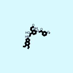 CCc1cc2c(cc1CC)CC(NCC(O)c1ccc(OCC(=O)c3cccc(OC)c3)c3[nH]c(=O)ccc13)C2